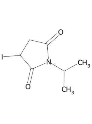 CC(C)N1C(=O)CC(I)C1=O